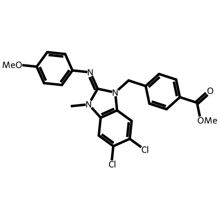 COC(=O)c1ccc(Cn2/c(=N/c3ccc(OC)cc3)n(C)c3cc(Cl)c(Cl)cc32)cc1